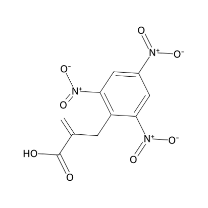 C=C(Cc1c([N+](=O)[O-])cc([N+](=O)[O-])cc1[N+](=O)[O-])C(=O)O